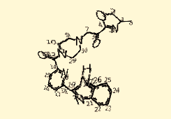 CC1COC(C(=O)CN2CCN(C(=O)c3cccc(-c4nc5ccccc5[nH]4)n3)CC2)=N1